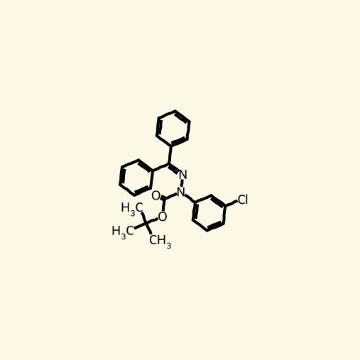 CC(C)(C)OC(=O)N(N=C(c1ccccc1)c1ccccc1)c1cccc(Cl)c1